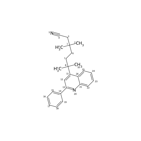 CC(C)(CC#N)CCC(C)(C)c1cc(-c2ccccc2)nc2ccccc12